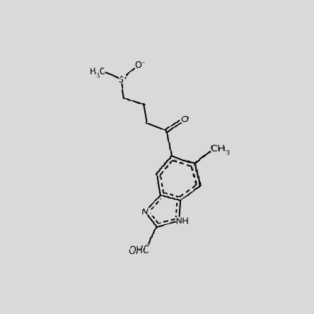 Cc1cc2[nH]c(C=O)nc2cc1C(=O)CCC[S+](C)[O-]